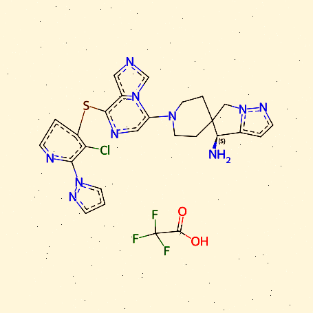 N[C@@H]1c2ccnn2CC12CCN(c1cnc(Sc3ccnc(-n4cccn4)c3Cl)c3cncn13)CC2.O=C(O)C(F)(F)F